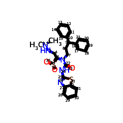 CN(C)NCC(N(CCC(c1ccccc1)c1ccccc1)C(=O)Nc1nc2ccccc2s1)=S(=O)=O